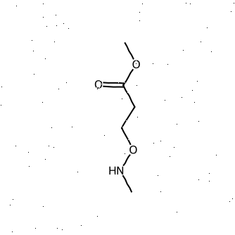 CNOCCC(=O)OC